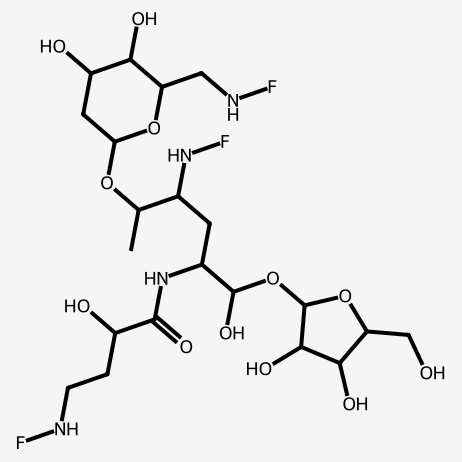 CC(OC1CC(O)C(O)C(CNF)O1)C(CC(NC(=O)C(O)CCNF)C(O)OC1OC(CO)C(O)C1O)NF